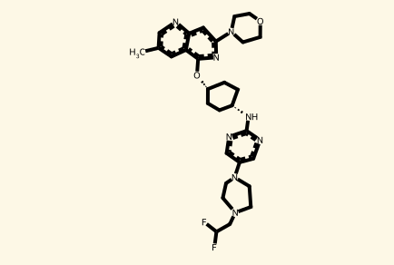 Cc1cnc2cc(N3CCOCC3)nc(O[C@H]3CC[C@@H](Nc4ncc(N5CCN(CC(F)F)CC5)cn4)CC3)c2c1